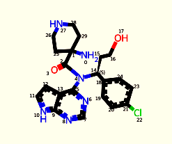 NC1(C(=O)N(c2ncnc3[nH]ccc23)[C@@H](CCO)c2ccc(Cl)cc2)CCNCC1